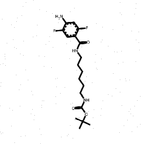 CC(C)(C)OC(=O)NCCCCCCNC(=O)c1cc(F)c(N)cc1F